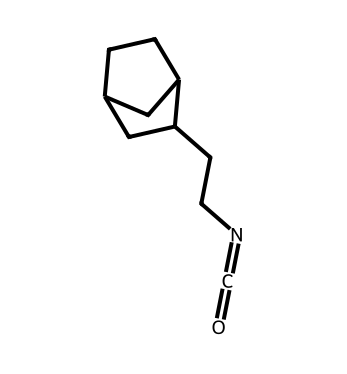 O=C=NCCC1CC2CCC1C2